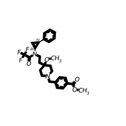 COC(=O)c1ccc(CN2CCC(CCN(C(=O)C(F)(F)F)[C@@H]3C[C@H]3c3ccccc3)(OC)CC2)cc1